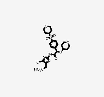 O=C(O)Cc1nc(NC(=O)C(OC2CCOCC2)c2ccc(S(=O)(=O)C3CCOCC3)cc2)sc1Cl